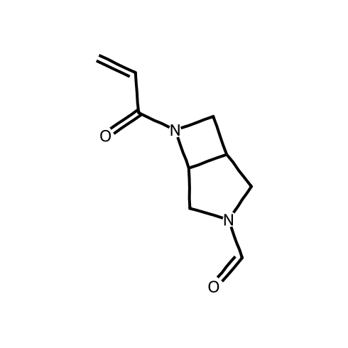 C=CC(=O)N1CC2CN(C=O)CC21